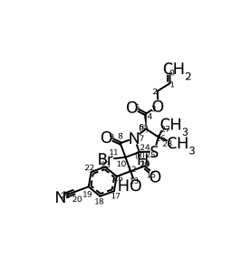 C=CCOC(=O)[C@@H]1N2C(=O)C(Br)(C(O)(C=O)c3ccc(C#N)cc3)[C@H]2SC1(C)C